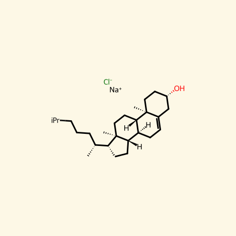 CC(C)CCC[C@@H](C)[C@H]1CC[C@H]2[C@@H]3CC=C4C[C@@H](O)CC[C@]4(C)[C@H]3CC[C@]12C.[Cl-].[Na+]